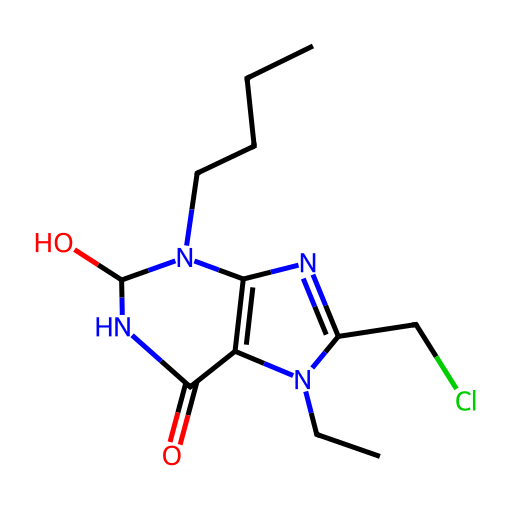 CCCCN1c2nc(CCl)n(CC)c2C(=O)NC1O